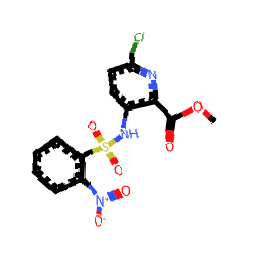 COC(=O)c1nc(Cl)ccc1NS(=O)(=O)c1ccccc1[N+](=O)[O-]